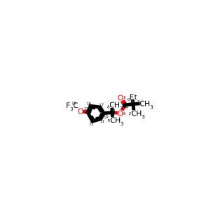 CCC(C)(C)C(=O)OC(C)(C)c1ccc(OC(F)(F)F)cc1